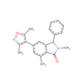 Cc1cc(-c2c(C)noc2C)cc2c1C(=O)N(C)C2c1ccccc1